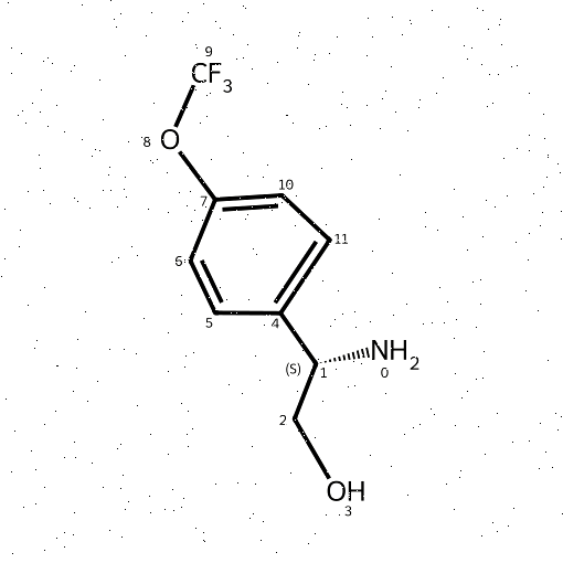 N[C@H](CO)c1ccc(OC(F)(F)F)cc1